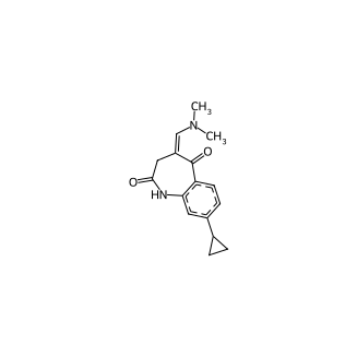 CN(C)C=C1CC(=O)Nc2cc(C3CC3)ccc2C1=O